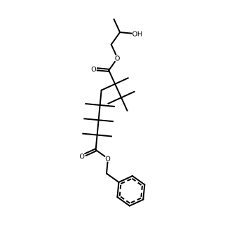 CC(O)COC(=O)C(C)(CC(C)(C)C(C)(C)C(C)(C)C(=O)OCc1ccccc1)C(C)(C)C